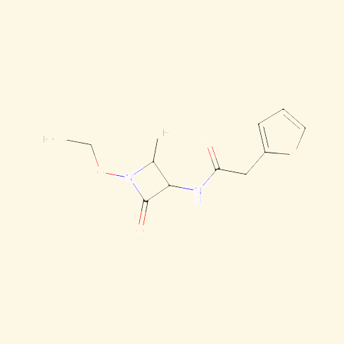 CC1C(NC(=O)Cc2cccs2)C(=O)N1OCS(=O)(=O)O